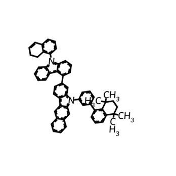 CC1(C)CCC(C)(C)c2c(-c3cccc(-n4c5cc(-c6cccc7c6c6ccccc6n7-c6cccc7c6CCC=C7)ccc5c5cc6ccccc6cc54)c3)cccc21